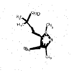 Cc1nn(C)c(CCC(C)(C)C=O)c1C(C)(C)C